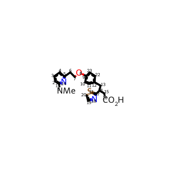 CNc1cccc(CCOc2ccc(CC(CC(=O)O)c3nccs3)cc2)n1